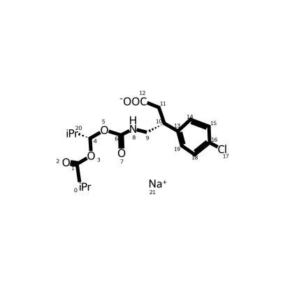 CC(C)C(=O)O[C@@H](OC(=O)NC[C@H](CC(=O)[O-])c1ccc(Cl)cc1)C(C)C.[Na+]